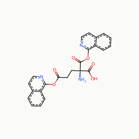 N[C@](CCC(=O)Oc1nccc2ccccc12)(C(=O)O)C(=O)Oc1nccc2ccccc12